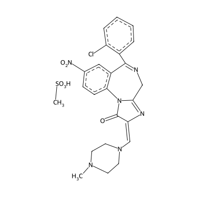 CN1CCN(/C=C2/N=C3CN=C(c4ccccc4Cl)c4cc([N+](=O)[O-])ccc4N3C2=O)CC1.CS(=O)(=O)O